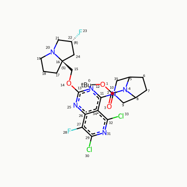 CC(C)(C)OC(=O)N1C2CCC1CN(c1nc(OC[C@@]34CCCN3C[C@H](F)C4)nc3c(F)c(Cl)nc(Cl)c13)C2